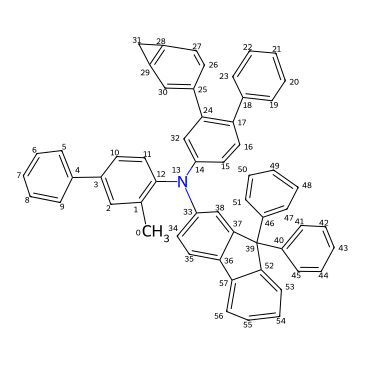 Cc1cc(-c2ccccc2)ccc1N(c1ccc(-c2ccccc2)c(-c2ccc3c(c2)C3)c1)c1ccc2c(c1)C(c1ccccc1)(c1ccccc1)c1ccccc1-2